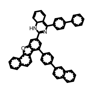 C1=CC2=C(c3ccc(-c4ccccc4)cc3)N=C(c3cc(-c4ccc(-c5ccc6ccccc6c5)cc4)c4c(c3)oc3c5ccccc5ccc34)NC2C=C1